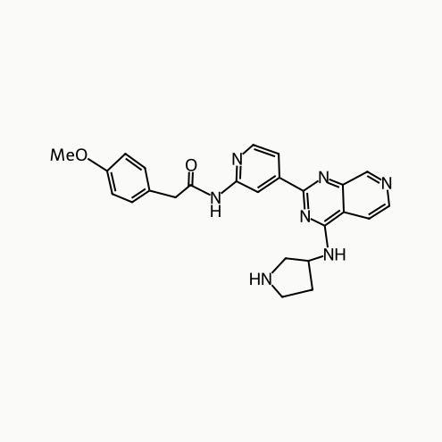 COc1ccc(CC(=O)Nc2cc(-c3nc(NC4CCNC4)c4ccncc4n3)ccn2)cc1